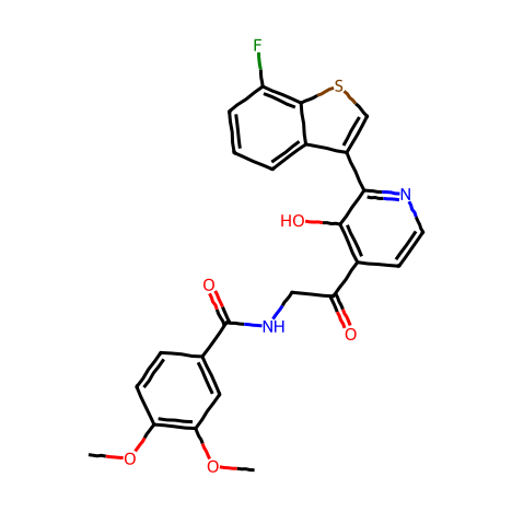 COc1ccc(C(=O)NCC(=O)c2ccnc(-c3csc4c(F)cccc34)c2O)cc1OC